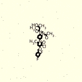 CC(=O)N1CN(C(=O)CC(C)(C)O)c2ccc(-n3c(C)cc(OCc4ccc(F)cc4F)c(Cl)c3=O)cc21